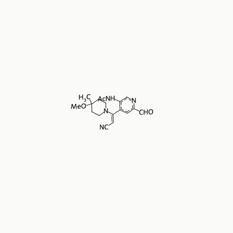 COC1(C)CCN(/C(=C\C#N)c2cc(C=O)ncc2NC(C)=O)CC1